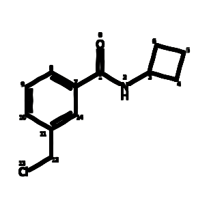 O=C(NC1CCC1)c1cccc(CCl)c1